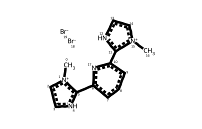 C[n+]1cc[nH]c1-c1cccc(-c2[nH]cc[n+]2C)n1.[Br-].[Br-]